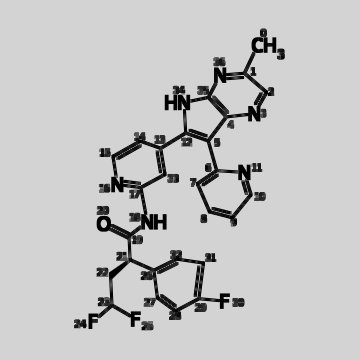 Cc1cnc2c(-c3ccccn3)c(-c3ccnc(NC(=O)[C@H](CC(F)F)c4ccc(F)cc4)c3)[nH]c2n1